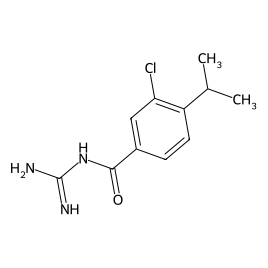 CC(C)c1ccc(C(=O)NC(=N)N)cc1Cl